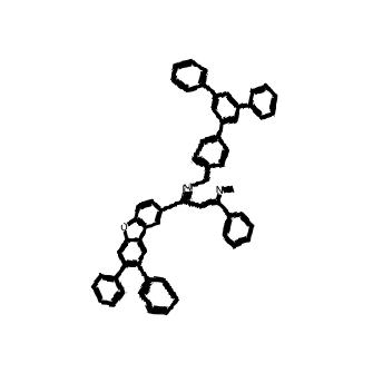 C=N/C(=C\C(=N/Cc1ccc(-c2cc(-c3ccccc3)cc(-c3ccccc3)c2)cc1)c1ccc2oc3cc(-c4ccccc4)c(-c4ccccc4)cc3c2c1)c1ccccc1